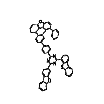 C1=Cc2oc3ccc(-c4ccccc4)c4c3c2C(C1)c1ccc(-c2ccc(-c3nc(-c5ccc6c(c5)oc5ccccc56)nc(-c5cccc6c5sc5ccccc56)n3)cc2)cc1-4